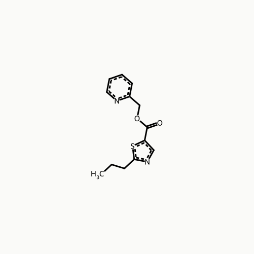 CCCc1ncc(C(=O)OCc2ccccn2)s1